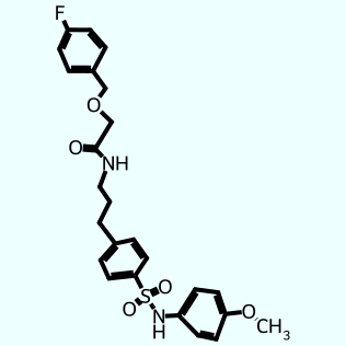 COc1ccc(NS(=O)(=O)c2ccc(CCCNC(=O)COCc3ccc(F)cc3)cc2)cc1